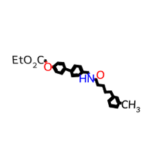 CCOC(=O)COc1ccc(-c2ccc(CNC(=O)CCCCc3cccc(C)c3)cc2)cc1